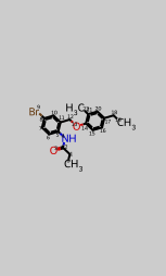 CCC(=O)Nc1ccc(Br)cc1COc1ccc(CC)cc1C